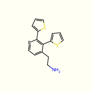 NCCc1ccbc(-c2cccs2)c1-c1cccs1